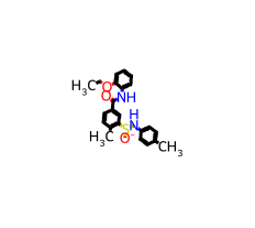 CCOc1ccccc1NC(=O)c1ccc(C)c([S+]([O-])Nc2ccc(C)cc2)c1